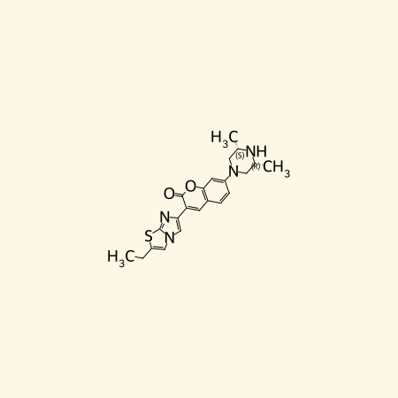 CCc1cn2cc(-c3cc4ccc(N5C[C@@H](C)N[C@@H](C)C5)cc4oc3=O)nc2s1